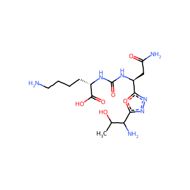 CC(O)C(N)c1nnc([C@H](CC(N)=O)NC(=O)N[C@@H](CCCCN)C(=O)O)o1